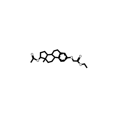 CCOC(=O)COc1ccc2c(c1)CCC1C2CCC2(C)C(OC(C)=O)CCC12